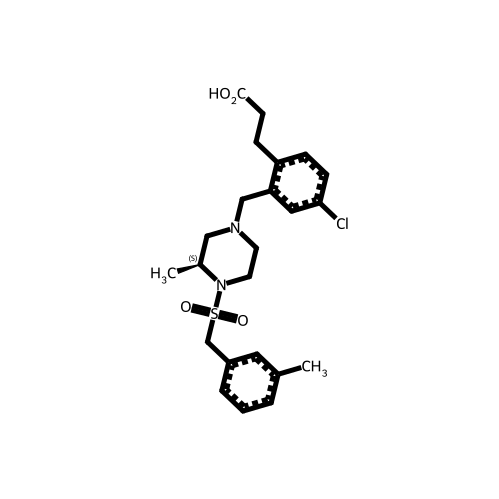 Cc1cccc(CS(=O)(=O)N2CCN(Cc3cc(Cl)ccc3CCC(=O)O)C[C@@H]2C)c1